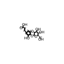 O=C(O)/C=C/c1ccc(O[C@@H]2O[C@H](CO)[C@@H](O)[C@H](O)[C@H]2O)c(O)c1